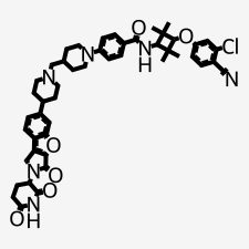 CC1(C)C(NC(=O)c2ccc(N3CCC(CN4CCC(c5ccc6c7c(oc6c5)C(=O)N(C5CCC(=O)NC5=O)C7)CC4)CC3)cc2)C(C)(C)C1Oc1ccc(C#N)c(Cl)c1